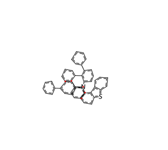 c1ccc(-c2ccc(N(c3cccc(-c4ccccc4)c3-c3ccccc3-c3ccccc3)c3cccc4sc5ccccc5c34)cc2)cc1